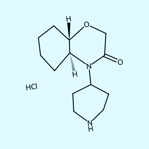 Cl.O=C1CO[C@H]2CCCC[C@@H]2N1C1CCNCC1